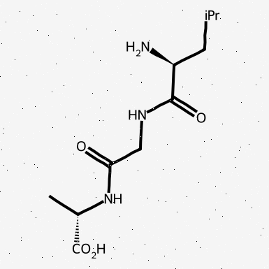 CC(C)C[C@H](N)C(=O)NCC(=O)N[C@@H](C)C(=O)O